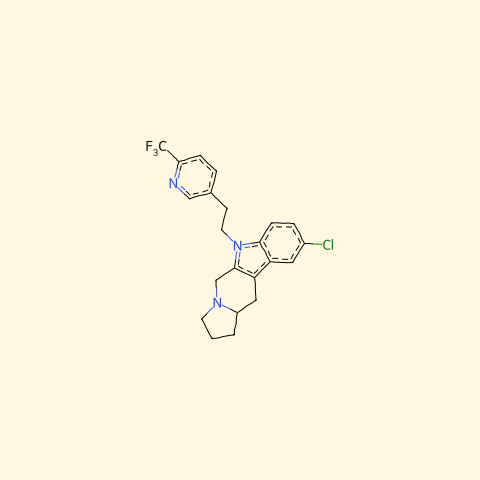 FC(F)(F)c1ccc(CCn2c3c(c4cc(Cl)ccc42)CC2CCCN2C3)cn1